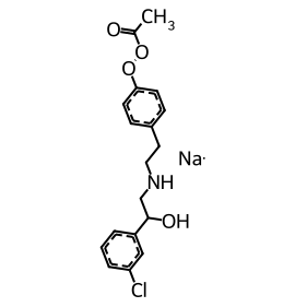 CC(=O)OOc1ccc(CCNCC(O)c2cccc(Cl)c2)cc1.[Na]